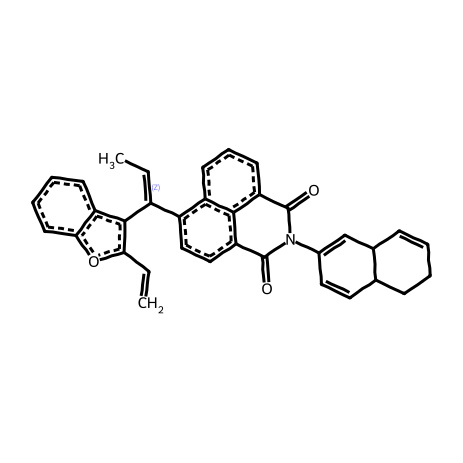 C=Cc1oc2ccccc2c1/C(=C\C)c1ccc2c3c(cccc13)C(=O)N(C1=CC3C=CCCC3C=C1)C2=O